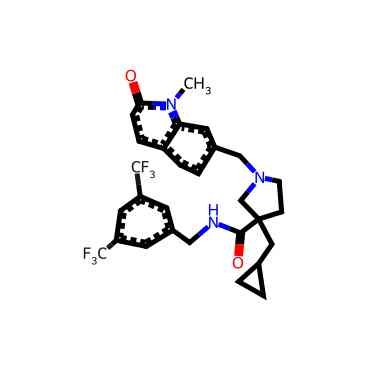 Cn1c(=O)ccc2ccc(CN3CCC(CC4CC4)(C(=O)NCc4cc(C(F)(F)F)cc(C(F)(F)F)c4)C3)cc21